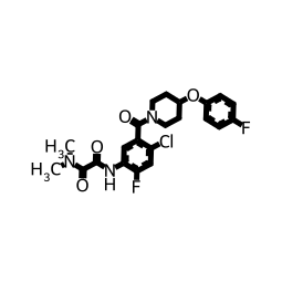 CN(C)C(=O)C(=O)Nc1cc(C(=O)N2CCC(Oc3ccc(F)cc3)CC2)c(Cl)cc1F